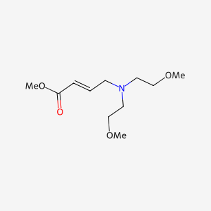 COCCN(CC=CC(=O)OC)CCOC